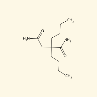 CCCCC(CCCC)(CC(N)=O)C(N)=O